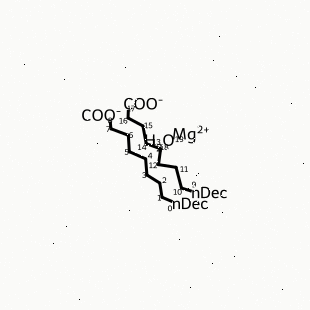 CCCCCCCCCCCCCCCCCC(=O)[O-].CCCCCCCCCCCCCCCCCC(=O)[O-].O.[Mg+2]